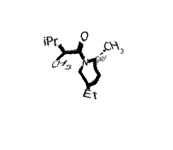 CCC1C[C@@H](C)N(C(=O)C(C)C(C)C)C1